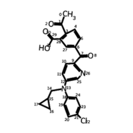 CC(=O)c1ccc(C(=O)c2ccc(N(CC3CC3)c3ccc(Cl)cc3)cn2)cc1C(=O)O